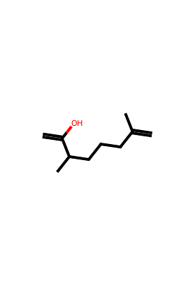 C=C(C)CCCC(C)C(=C)O